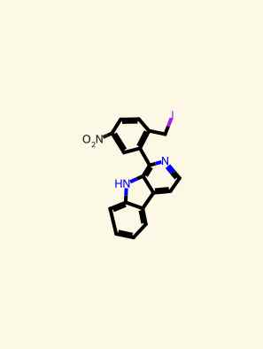 O=[N+]([O-])c1ccc(CI)c(-c2nccc3c2[nH]c2ccccc23)c1